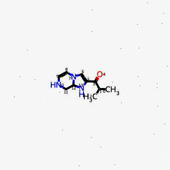 CC(C)C(=O)C1=CN2C=CNCC2N1